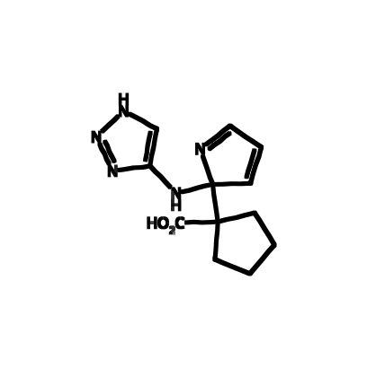 O=C(O)C1(C2(Nc3c[nH]nn3)C=CC=N2)CCCC1